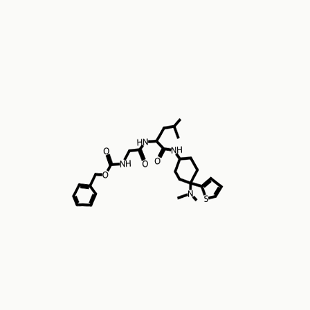 CC(C)CC(NC(=O)CNC(=O)OCc1ccccc1)C(=O)NC1CCC(c2cccs2)(N(C)C)CC1